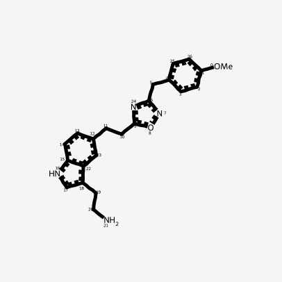 COc1ccc(Cc2noc(CCc3ccc4[nH]cc(CCN)c4c3)n2)cc1